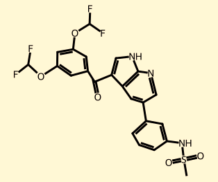 CS(=O)(=O)Nc1cccc(-c2cnc3[nH]cc(C(=O)c4cc(OC(F)F)cc(OC(F)F)c4)c3c2)c1